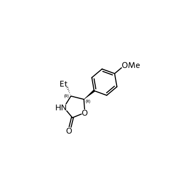 CC[C@H]1NC(=O)O[C@@H]1c1ccc(OC)cc1